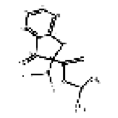 CC(C)OC(=O)C1(C(F)F)Cc2ccccc2C1=O